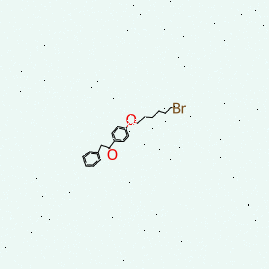 O=C(Cc1ccccc1)c1ccc(OCCCCCCBr)cc1